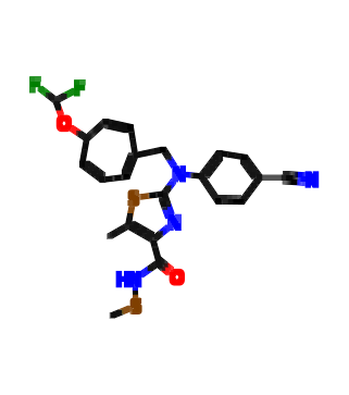 CSNC(=O)c1nc(N(CC2=CC=CC(OC(F)F)C=C2)c2ccc(C#N)cc2)sc1C